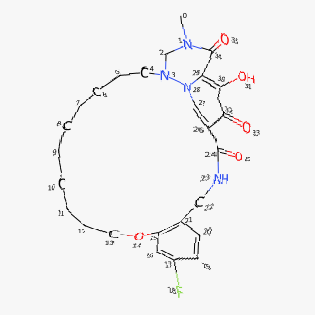 CN1CN2CCCCCCCCCCOc3cc(F)ccc3CNC(=O)c3cn2c(c(O)c3=O)C1=O